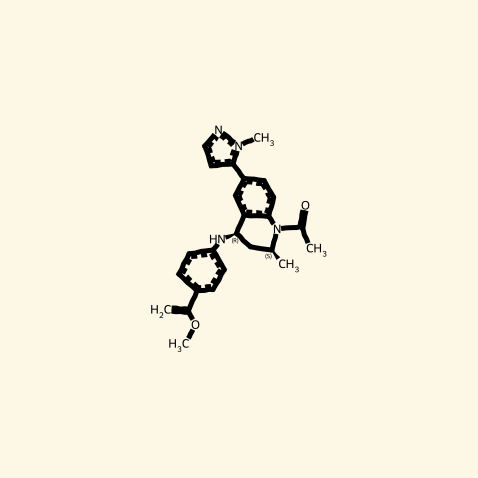 C=C(OC)c1ccc(N[C@@H]2C[C@H](C)N(C(C)=O)c3ccc(-c4ccnn4C)cc32)cc1